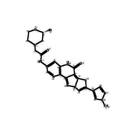 CC[C@@H]1CN(CC(=O)Nc2cnc3c(c2)[nH]c(=O)c2c3nn3cc(-c4cnn(C)c4)sc23)CCO1